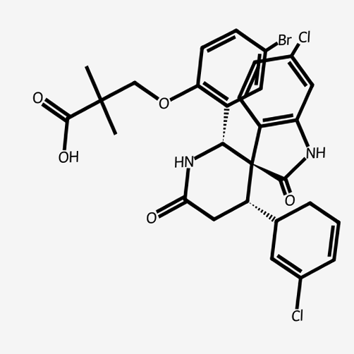 CC(C)(COc1ccc(Br)cc1[C@H]1NC(=O)C[C@@H](C2C=C(Cl)C=CC2)[C@]12C(=O)Nc1cc(Cl)ccc12)C(=O)O